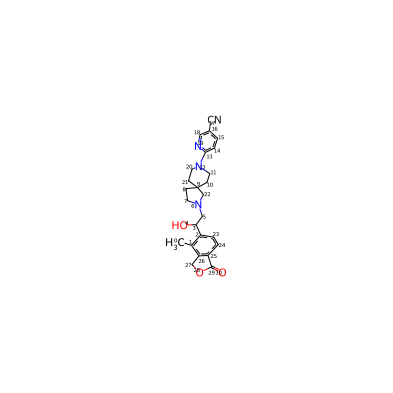 Cc1c(C(O)CN2CCC3(CCN(c4ccc(C#N)cn4)CC3)C2)ccc2c1COC2=O